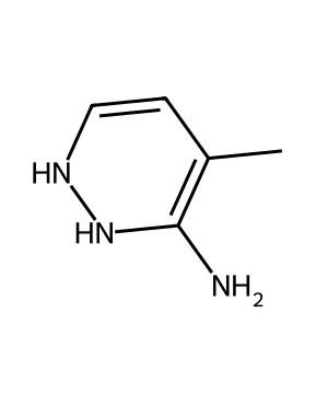 CC1=C(N)NNC=C1